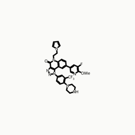 COc1ncc(-c2ccc3c(c2)c2c(nnn2-c2ccc(N4CCNCC4)c(C(F)(F)F)c2)c(=O)n3CCn2cccc2)cc1F